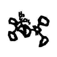 CC1(C)c2ccccc2-c2c1c1cc(-c3nc(-c4ccccc4)cc(-c4ccccc4)n3)ccc1n2-c1ccccc1